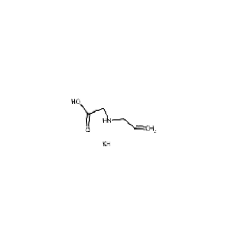 C=CCNCC(=O)O.[KH]